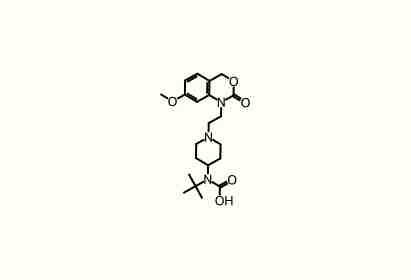 COc1ccc2c(c1)N(CCN1CCC(N(C(=O)O)C(C)(C)C)CC1)C(=O)OC2